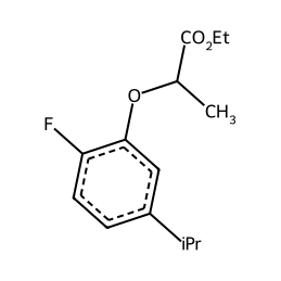 CCOC(=O)C(C)Oc1cc(C(C)C)ccc1F